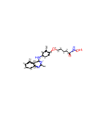 Cc1nc(Nc2ccc(OCCCCC(=O)NO)cc2)c2ccccc2n1